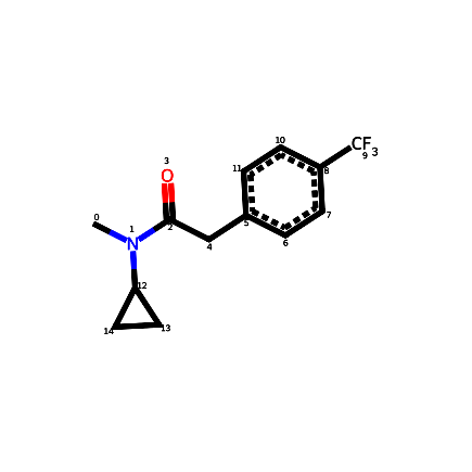 CN(C(=O)Cc1ccc(C(F)(F)F)cc1)C1CC1